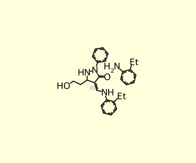 CCc1ccccc1N.CCc1ccccc1N/C=C1\C(=O)N(c2ccccc2)NC1CCO